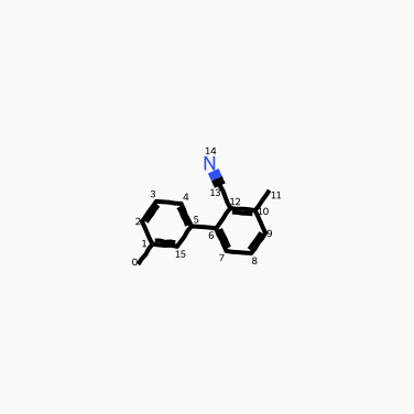 Cc1cccc(-c2cccc(C)c2C#N)c1